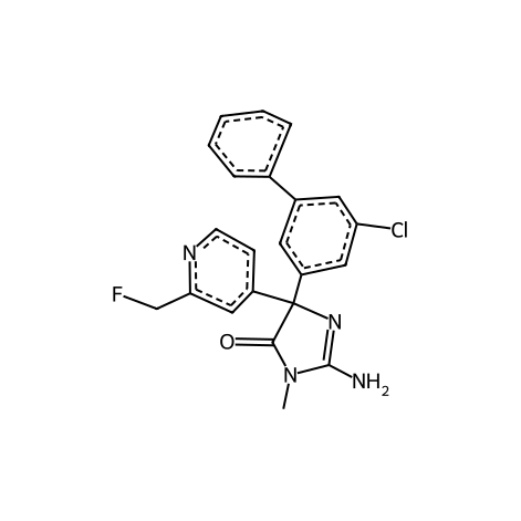 CN1C(=O)C(c2cc(Cl)cc(-c3ccccc3)c2)(c2ccnc(CF)c2)N=C1N